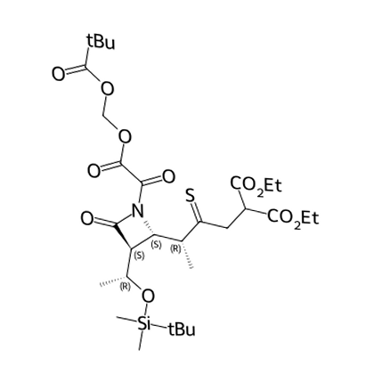 CCOC(=O)C(CC(=S)[C@H](C)[C@@H]1[C@@H]([C@@H](C)O[Si](C)(C)C(C)(C)C)C(=O)N1C(=O)C(=O)OCOC(=O)C(C)(C)C)C(=O)OCC